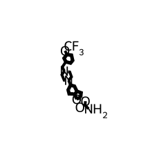 NC(=O)Oc1cc2cc(N3CCN(Cc4cccc(OC(F)(F)F)c4)CC3)ccc2o1